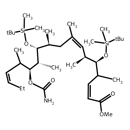 CC/C=C\C(C)[C@H](OC(N)=O)[C@@H](C)[C@H](O[Si](C)(C)C(C)(C)C)[C@@H](C)C/C(C)=C\[C@H](C)[C@@H](O[Si](C)(C)C(C)(C)C)C(C)/C=C\C(=O)OC